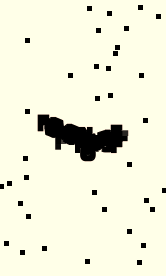 O=c1nc(N2CC=C(c3ccc(F)cc3)C(F)C2)ncn1Cc1ccc(C(F)(F)F)s1